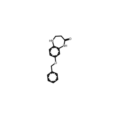 O=C1CCNc2ccc(OCc3ccccc3)cc2N1